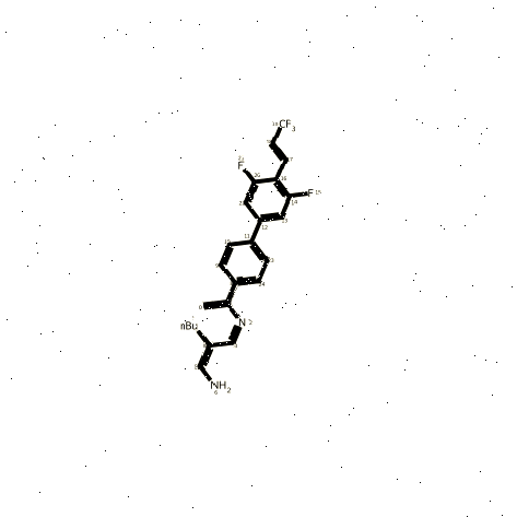 C=C(/N=C\C(=C/N)CCCC)c1ccc(-c2cc(F)c(/C=C/C(F)(F)F)c(F)c2)cc1